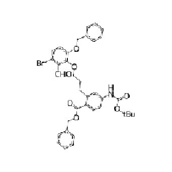 CC(C)(C)OC(=O)Nc1ccc(C(=O)OCc2ccccc2)c(CCCOc2c(OCc3ccccc3)ccc(Br)c2C=O)c1